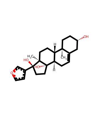 C[C@]12CC[C@H]3[C@@H](CC=C4C[C@@H](O)CC[C@@]43C)[C@@]1(O)CC[C@]2(O)c1ccoc1